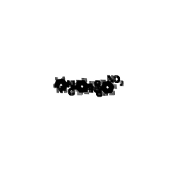 O=C(Nc1cccnc1)c1ccc(CNS(=O)(=O)c2cccc([N+](=O)[O-])c2)cc1